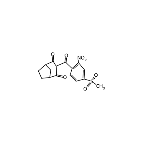 CS(=O)(=O)c1ccc(C(=O)C2C(=O)C3CCC(C3)C2=O)c([N+](=O)[O-])c1